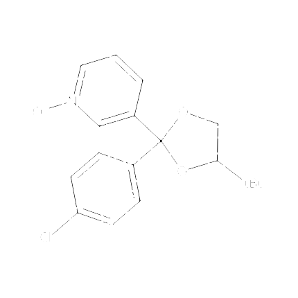 CC(C)(C)C1COC(c2ccc(Cl)cc2)(c2ccc[n+]([O-])c2)O1